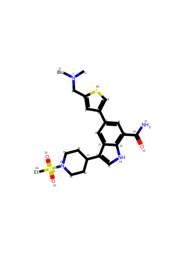 CCC(C)N(C)Cc1cc(-c2cc(C(N)=O)c3[nH]cc(C4CCN(S(=O)(=O)CC)CC4)c3c2)cs1